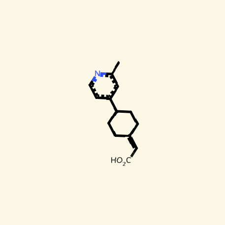 Cc1cc(C2CCC(=CC(=O)O)CC2)ccn1